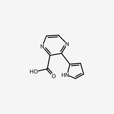 O=C(O)c1nccnc1-c1ccc[nH]1